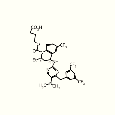 CC[C@@H]1C[C@H](Nc2ncc(N(C)C)c(Cc3cc(C(F)(F)F)cc(C(F)(F)F)c3)n2)c2cc(C(F)(F)F)ccc2N1C(=O)OCCCC(=O)O